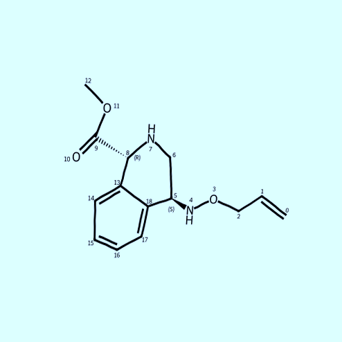 C=CCON[C@@H]1CN[C@@H](C(=O)OC)c2ccccc21